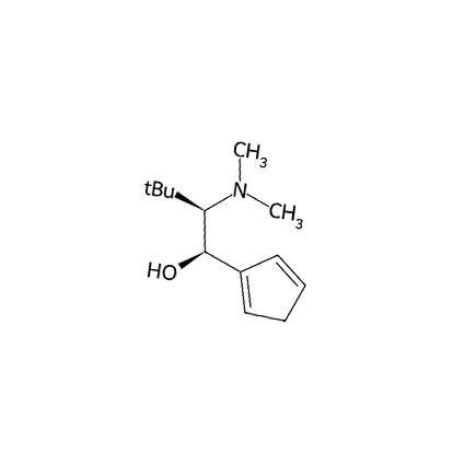 CN(C)[C@@H]([C@H](O)C1=CCC=C1)C(C)(C)C